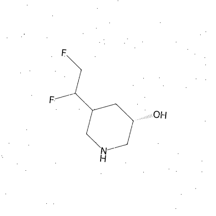 O[C@@H]1CNCC(C(F)CF)C1